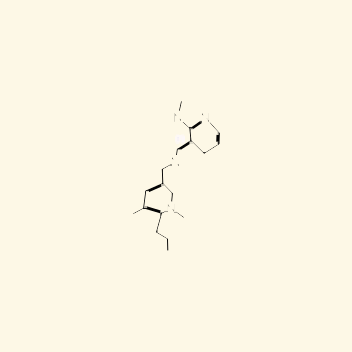 CCCC1=C(C)C=C(CN/C=C2\CC=CN=C2NC)CN1C